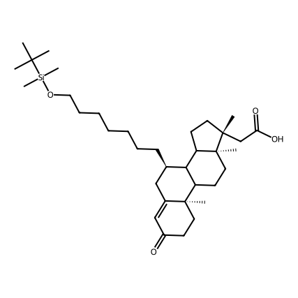 CC(C)(C)[Si](C)(C)OCCCCCCC[C@@H]1CC2=CC(=O)CC[C@]2(C)C2CC[C@@]3(C)C(CC[C@]3(C)CC(=O)O)C21